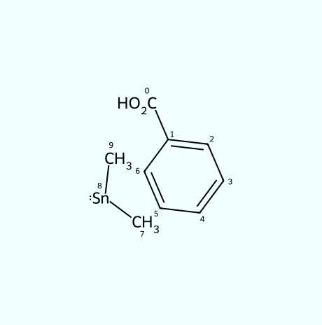 O=C(O)c1ccccc1.[CH3][Sn][CH3]